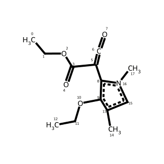 CCOC(=O)C(=C=O)c1c(OCC)c(C)cn1C